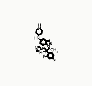 C[C@@H](n1ncc2cc(NC3CCNCC3)ccc21)[C@](O)(Cn1cncn1)c1ccc(F)cc1F